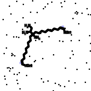 CCCCCCCC/C=C\CCCCCCCCC(N)(CCCCCCCC/C=C\CCCCCCCC)C(N)CN